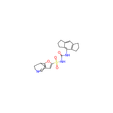 O=C(Nc1c2c(cc3c1CCC3)CCC2)NS(=O)(=O)c1cc2c(o1)C1CCN(CC1)C2